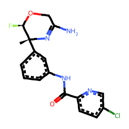 C[C@]1(c2cccc(NC(=O)c3ccc(Cl)cn3)c2)N=C(N)CO[C@@H]1F